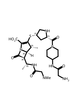 CNCC(=O)N[C@H](C)[C@H]1C(=O)N2C(C(=O)O)=C(S[C@@H]3CN[C@H](C(=O)N4CCC(NC(=O)CN)CC4)C3)[C@H](C)[C@@H]12